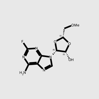 COC[C@H]1O[C@@H](n2cnc3c(N)nc(F)nc32)[C@@H](O)O1